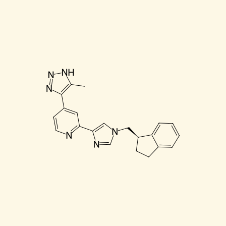 Cc1[nH]nnc1-c1ccnc(-c2cn(C[C@@H]3CCc4ccccc43)cn2)c1